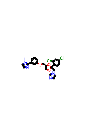 Clc1ccc(C2(Cn3ccnc3)OCC(COc3cccc(-c4ncc[nH]4)c3)O2)c(Cl)c1